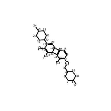 CC1CCC(COc2ccc3c(c2F)C2C(F)=C(F)C(C4CCC(C)CC4)=CC32)CC1